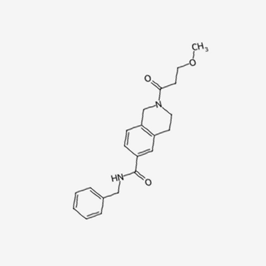 COCCC(=O)N1CCc2cc(C(=O)NCc3ccccc3)ccc2C1